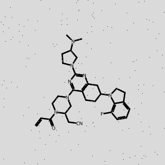 C=CC(=O)N1CCN(c2nc(N3CCC(N(C)C)C3)nc3c2CCC(N2CCc4cccc(F)c42)C3)CC1CC#N